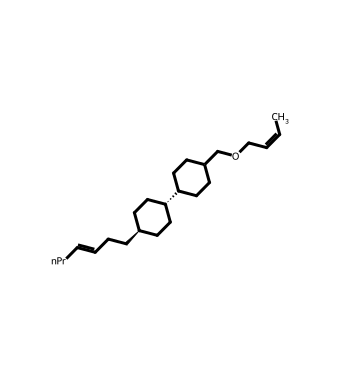 C/C=C\COCC1CCC([C@H]2CC[C@H](CC/C=C/CCC)CC2)CC1